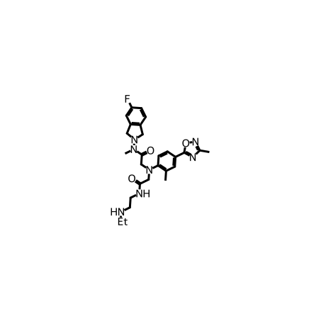 CCNCCNC(=O)CN(CC(=O)N(C)N1Cc2ccc(F)cc2C1)c1ccc(-c2nc(C)no2)cc1C